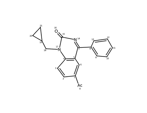 CC(=O)c1ccc2c(c1)c(-c1ccccc1)nc(=O)n2CC1CC1